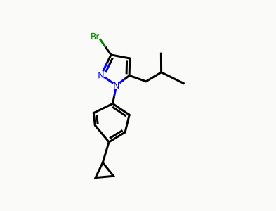 CC(C)Cc1cc(Br)nn1-c1ccc(C2CC2)cc1